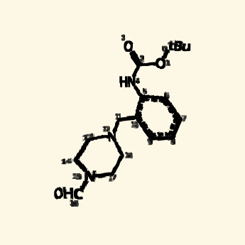 CC(C)(C)OC(=O)Nc1ccccc1CN1CCN(C=O)CC1